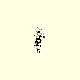 CC(C)NC(=O)NC(C)(C)c1ccc(C(C)(C)NC(=O)C(C)C)cc1